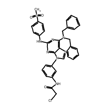 CS(=O)(=O)c1ccc(Nc2nc(N(Cc3ccccc3)Cc3ccccc3)c3ncn(-c4cccc(NC(=O)CCl)c4)c3n2)cc1